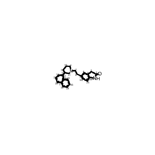 O=C1Cc2cc(CCN3CCCC(c4cccc5ccccc45)C3)ccc2N1